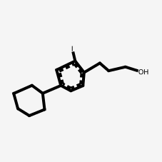 OCCCc1ccc(C2CCCCC2)cc1I